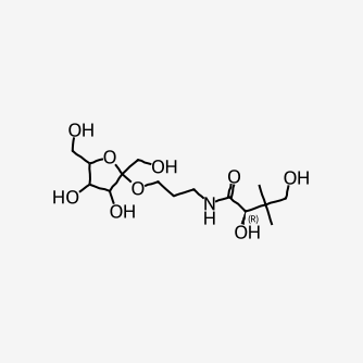 CC(C)(CO)[C@@H](O)C(=O)NCCCOC1(CO)OC(CO)C(O)C1O